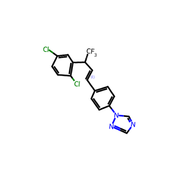 FC(F)(F)C(/C=C/c1ccc(-n2cncn2)cc1)c1cc(Cl)ccc1Cl